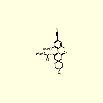 CC#Cc1cc(C)c(C2=C(OC(=O)OC)CC3(CCN(C(C)=O)CC3)CC2=O)c(OC)c1